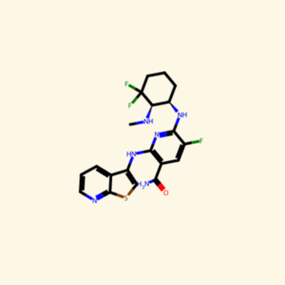 CN[C@@H]1[C@H](Nc2nc(Nc3csc4ncccc34)c(C(N)=O)cc2F)CCCC1(F)F